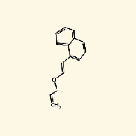 C=CCOC=Cc1cccc2ccccc12